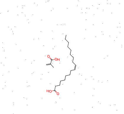 C=C(C)C(=O)O.CCCCCCCC/C=C\CCCCCCCC(=O)O